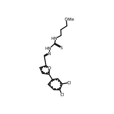 COCCCNC(=S)NN=Cc1ccc(-c2ccc(Cl)c(Cl)c2)o1